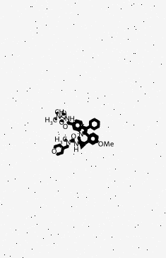 COc1ccc2c(c1)C1CC1(NC(=O)N(C)CC1CCOCC1)Cn1c-2c(C2CCCCC2)c2ccc(C(=O)NS(=O)(=O)N(C)C)cc21